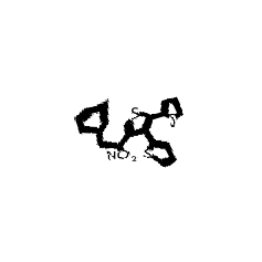 O=[N+]([O-])C(=Cc1ccccc1)c1csc(-c2cccs2)c1-c1cccs1